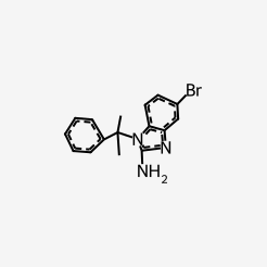 CC(C)(c1ccccc1)n1c(N)nc2cc(Br)ccc21